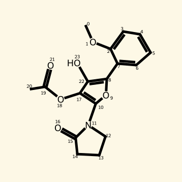 COc1ccccc1-c1oc(N2CCCC2=O)c(OC(C)=O)c1O